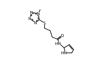 Cn1nnnc1SCCCC(=O)NC1C=CCN1